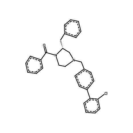 O=C(c1ccccc1)N1CCN(Cc2ccc(-c3ccccc3Cl)cc2)C[C@H]1Cc1ccccc1